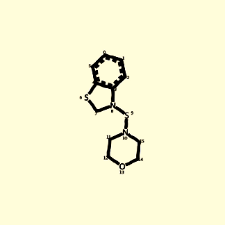 c1ccc2c(c1)SCN2SN1CCOCC1